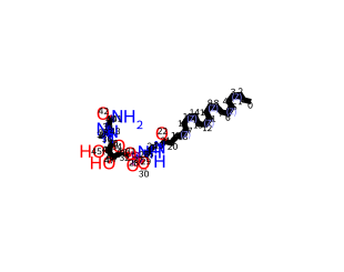 CC/C=C\C/C=C\C/C=C\C/C=C\C/C=C\C/C=C\CCC(=O)NCCNP(=O)(OC)OC[C@H]1O[C@@H](n2cnc(C(N)=O)n2)[C@H](O)[C@@H]1O